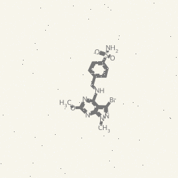 COc1nc(NCc2ccc(S(N)(=O)=O)cc2)c2c(Br)nn(C)c2n1